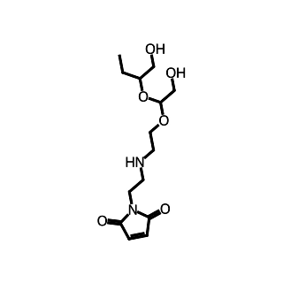 CCC(CO)OC(CO)OCCNCCN1C(=O)C=CC1=O